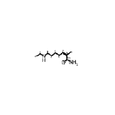 CCNCCCCC=C(C)C(N)=O